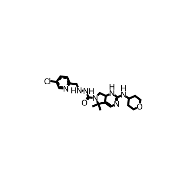 CC1(C)C2=CN=C(NC3CCOCC3)NC2CN1C(=O)NNCc1ccc(Cl)cn1